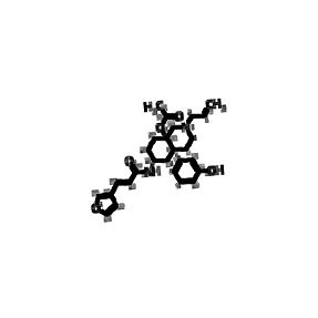 C=CCN1CC[C@@]2(c3cccc(O)c3)C[C@H](NC(=O)/C=C/c3ccoc3)CC[C@]2(OC(C)=O)C1